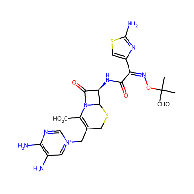 CC(C)(C=O)O/N=C(\C(=O)N[C@@H]1C(=O)N2C(C(=O)O)=C(C[n+]3cnc(N)c(N)c3)CSC12)c1csc(N)n1